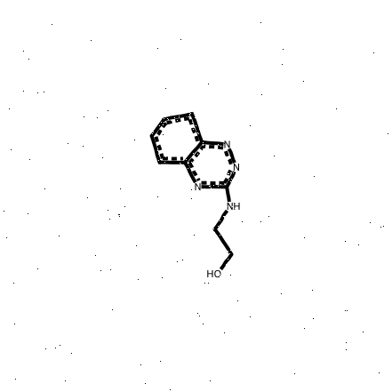 OCCNc1nnc2ccccc2n1